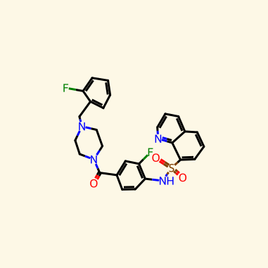 O=C(c1ccc(NS(=O)(=O)c2cccc3cccnc23)c(F)c1)N1CCN(Cc2ccccc2F)CC1